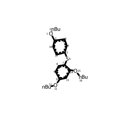 CCCCOc1ccc(Sc2ccc(OCCCC)cc2OCCCC)cc1